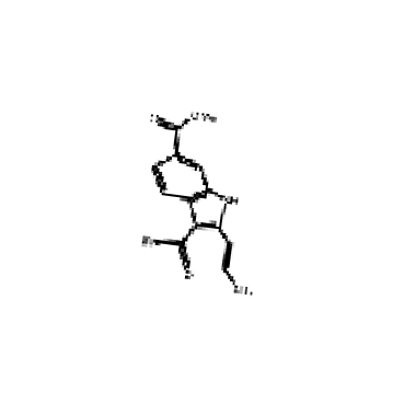 CC=Cc1[nH]c2cc(C(=O)OC)ccc2c1C(=O)C(C)C